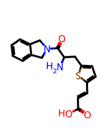 NC(Cc1ccc(C=CC(=O)O)s1)C(=O)N1Cc2ccccc2C1